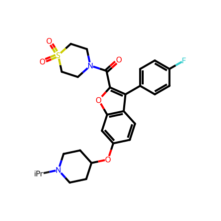 CC(C)N1CCC(Oc2ccc3c(-c4ccc(F)cc4)c(C(=O)N4CCS(=O)(=O)CC4)oc3c2)CC1